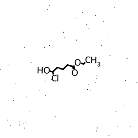 CCOC(=O)CCCC(O)Cl